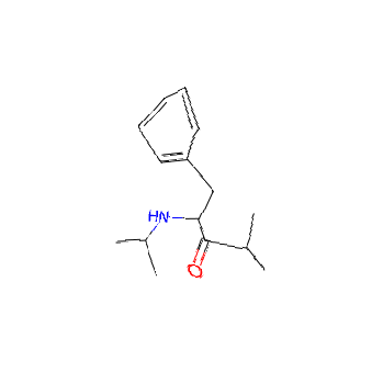 CC(C)NC(Cc1ccccc1)C(=O)C(C)C